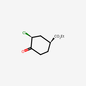 CCOC(=O)[C@H]1CCC(=O)[C@@H](Cl)C1